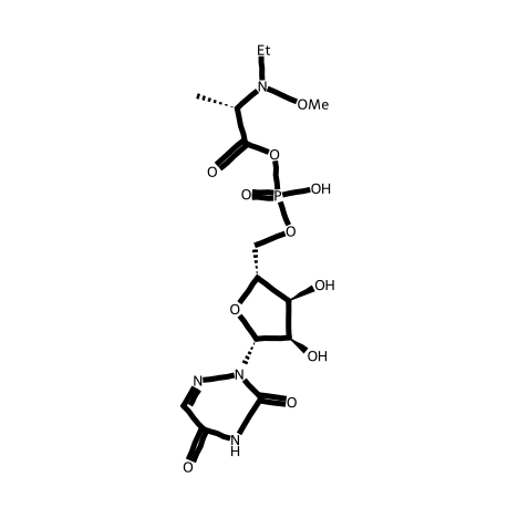 CCN(OC)[C@@H](C)C(=O)OP(=O)(O)OC[C@H]1O[C@@H](n2ncc(=O)[nH]c2=O)[C@H](O)[C@@H]1O